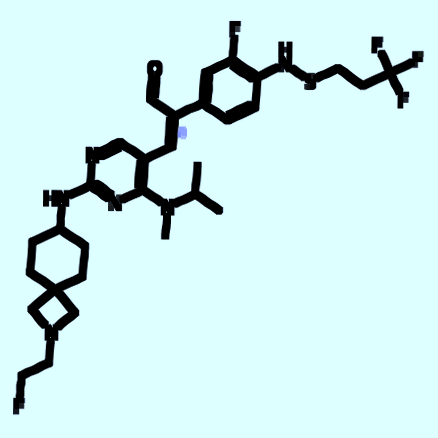 CC(C)N(C)c1nc(NC2CCC3(CC2)CN(CCF)C3)ncc1/C=C(\C=O)c1ccc(NSCCC(F)(F)F)c(F)c1